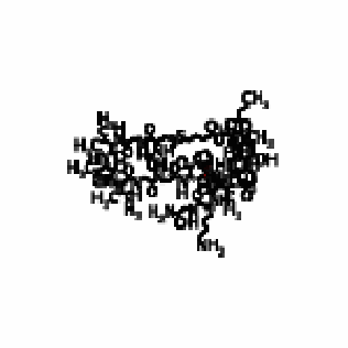 CCCC1O[C@@H]2C[C@H]3[C@@H]4CCC5=CC(=O)C=C[C@]5(C)[C@H]4[C@@H](O)C[C@]3(C)[C@]2(C(=O)COC(=O)CCCSSCC(NC(C)=O)C(=O)NCC(=O)N[C@H](C(=O)N[C@H](C(=O)N[C@H](C(=O)NCC(=O)NCC(=O)N[C@@H](CC(=O)O)C(=O)N2CCC[C@H]2C(=O)N[C@H](C(=O)N[C@@H](CCCCN)C(=O)NCC(N)=O)C(C)C)C(C)C)C(C)C)C(C)C)O1